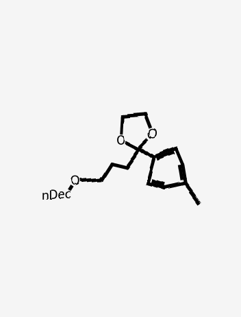 CCCCCCCCCCOCCCC1(c2ccc(C)cc2)OCCO1